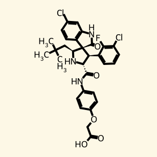 CC(C)(C)C[C@@H]1N[C@@H](C(=O)Nc2ccc(OCC(=O)O)cc2)[C@H](c2cccc(Cl)c2F)[C@]12C(=O)Nc1cc(Cl)ccc12